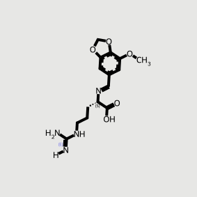 [H]/N=C(\N)NCCC[C@H](N=Cc1cc(OC)c2c(c1)OCO2)C(=O)O